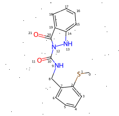 CSc1ccccc1CNC(=O)n1[nH]c2ccccc2c1=O